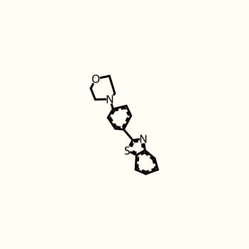 c1ccc2sc(-c3ccc(N4CCOCC4)cc3)nc2c1